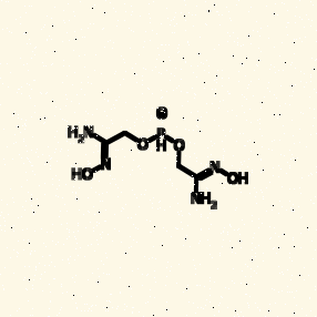 NC(CO[PH](=O)OCC(N)=NO)=NO